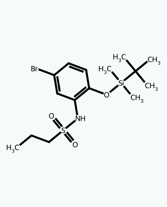 CCCS(=O)(=O)Nc1cc(Br)ccc1O[Si](C)(C)C(C)(C)C